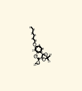 CCCCCCOc1ccc([C@H]2OC(C)(C)O[C@@H]2C(=O)OC)cc1